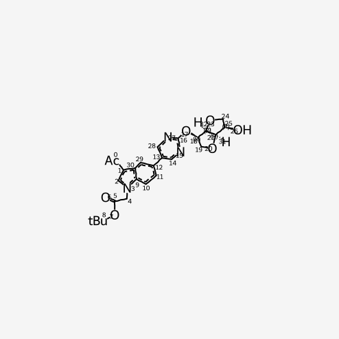 CC(=O)c1cn(CC(=O)OC(C)(C)C)c2ccc(-c3cnc(O[C@@H]4CO[C@H]5[C@@H]4OC[C@H]5O)nc3)cc12